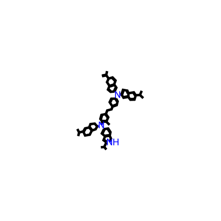 C=C(C)C1C=Cc2cc(N(c3ccc(CCc4ccc(N(c5ccc6c(c5)C=C(C(C)C)NC6)C5CCC6=C(CCC(C(C)C)=C6)C5)c(C)c4)cc3)c3ccc4cc(C(C)C)ccc4c3)ccc2C1